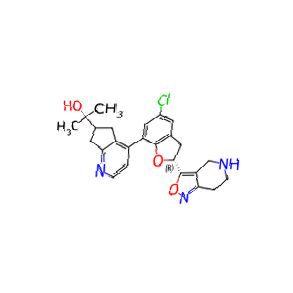 CC(C)(O)C1Cc2nccc(-c3cc(Cl)cc4c3O[C@@H](c3onc5c3CNCC5)C4)c2C1